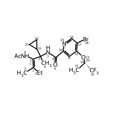 CC/C(C)=C(/NC(C)=O)C(C)(NC(=O)c1cc(O[C@@H](C)C(F)(F)F)c(Br)cn1)C1CC1